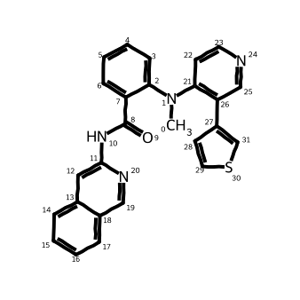 CN(c1ccccc1C(=O)Nc1cc2ccccc2cn1)c1ccncc1-c1ccsc1